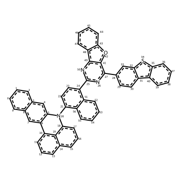 c1ccc2cc3c(cc2c1)-c1cccc2cccc(c12)N3c1ccc(-c2nc(-c3ccc4c(c3)sc3ccccc34)c3oc4ccccc4c3n2)c2ccccc12